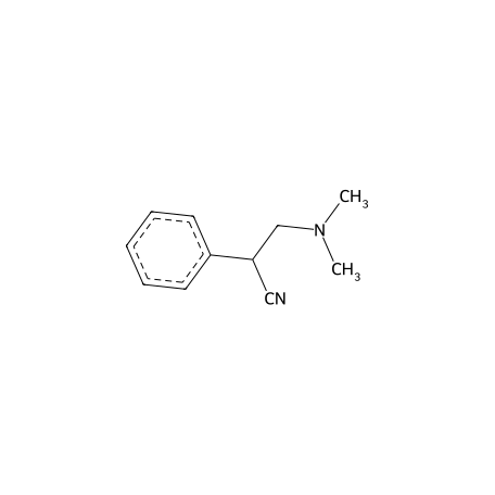 CN(C)CC(C#N)c1ccccc1